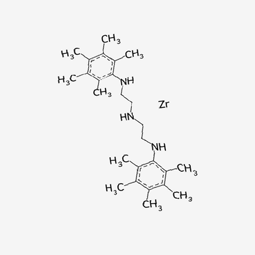 Cc1c(C)c(C)c(NCCNCCNc2c(C)c(C)c(C)c(C)c2C)c(C)c1C.[Zr]